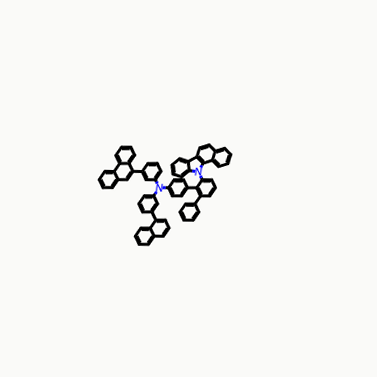 c1ccc(-c2cccc(-n3c4ccccc4c4ccc5ccccc5c43)c2-c2ccc(N(c3cccc(-c4cccc5ccccc45)c3)c3cccc(-c4cc5ccccc5c5ccccc45)c3)cc2)cc1